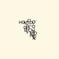 COc1ccc([C@H](Cc2c(Cl)c[n+](O)cc2Cl)c2cc(CN(C(=O)O[C@H]3CN4CCC3CC4)c3cccc(F)c3F)ccc2C(=O)[O-])cc1OC